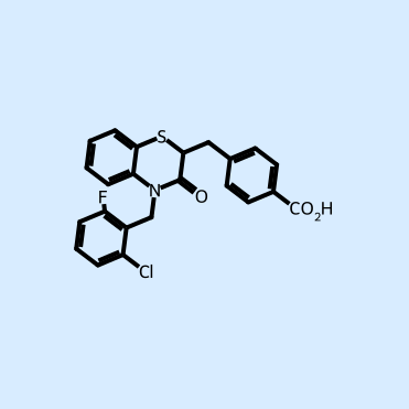 O=C(O)c1ccc(CC2Sc3ccccc3N(Cc3c(F)cccc3Cl)C2=O)cc1